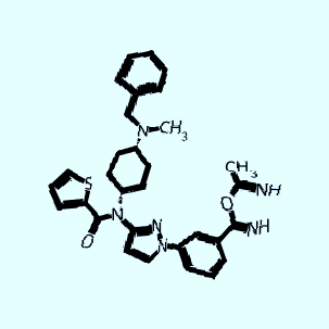 CC(=N)OC(=N)c1cccc(-n2ccc(N(C(=O)c3cccs3)[C@H]3CC[C@@H](N(C)Cc4ccccc4)CC3)n2)c1